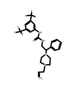 C=CCN1CCN(C(CNC(=O)Nc2cc(C(F)(F)F)cc(C(F)(F)F)c2)c2ccccc2)CC1